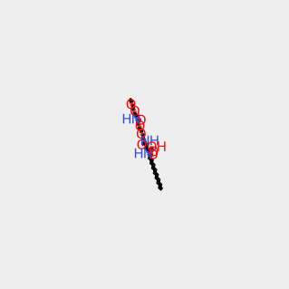 CCCCCCCCCCCCCCC(=O)NC(CCC(=O)NCCOCCOCC(=O)NCCOCCOCC)C(=O)O